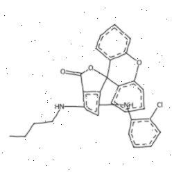 CCCCNc1ccc(Nc2ccccc2Cl)c2c1C(=O)OC21c2ccccc2Oc2ccccc21